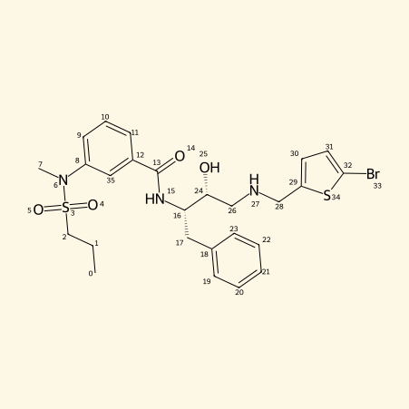 CCCS(=O)(=O)N(C)c1cccc(C(=O)N[C@@H](Cc2ccccc2)[C@H](O)CNCc2ccc(Br)s2)c1